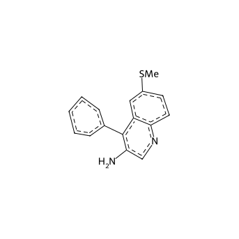 CSc1ccc2ncc(N)c(-c3ccccc3)c2c1